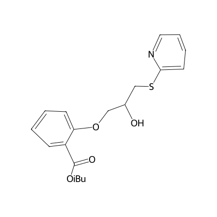 CC(C)COC(=O)c1ccccc1OCC(O)CSc1ccccn1